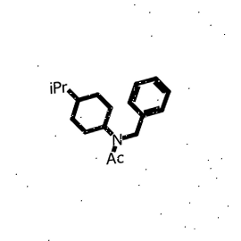 CC(=O)N(Cc1ccccc1)C1CCC(C(C)C)CC1